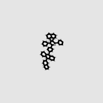 c1ccc(-c2nc(-c3ccc(-c4c5ccccc5c(-c5ccc6ccccc6c5)c5ccccc45)cc3)c(-c3ccccc3)c3c2-c2cccc4cccc-3c24)cc1